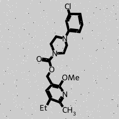 CCc1cc(COC(=O)N2CCN(c3cccc(Cl)c3)CC2)c(OC)nc1C